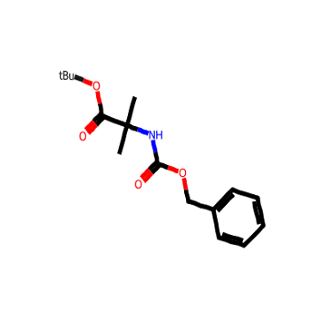 CC(C)(C)OC(=O)C(C)(C)NC(=O)OCc1ccccc1